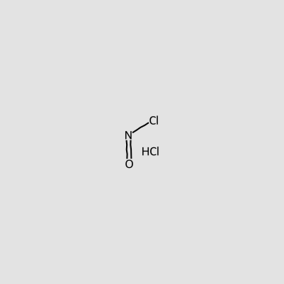 Cl.O=NCl